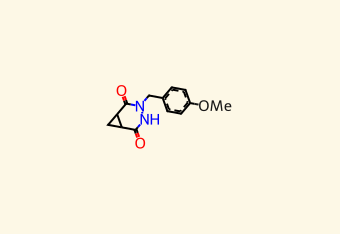 COc1ccc(CN2NC(=O)C3CC3C2=O)cc1